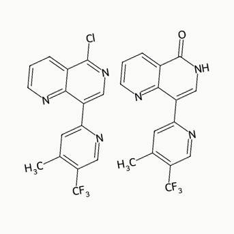 Cc1cc(-c2c[nH]c(=O)c3cccnc23)ncc1C(F)(F)F.Cc1cc(-c2cnc(Cl)c3cccnc23)ncc1C(F)(F)F